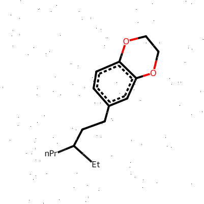 CCCC(CC)CCc1ccc2c(c1)OCCO2